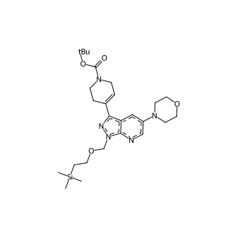 CC(C)(C)OC(=O)N1CC=C(c2nn(COCC[Si](C)(C)C)c3ncc(N4CCOCC4)cc23)CC1